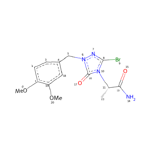 COc1ccc(Cn2nc(Br)n([C@@H](C)C(N)=O)c2=O)cc1OC